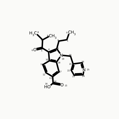 CCCc1c(C(=O)C(C)C)c2ccc(C(=O)O)cc2n1Cc1cccnc1